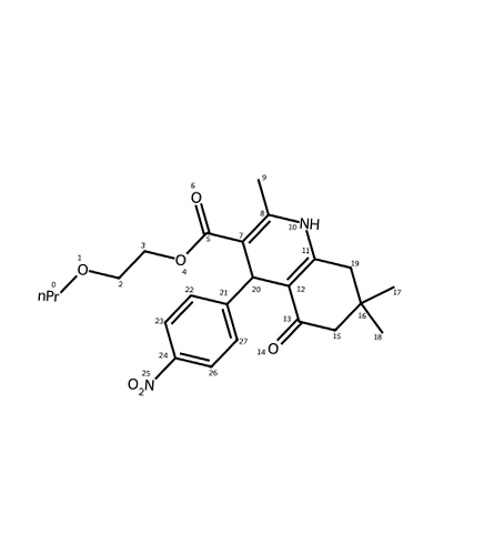 CCCOCCOC(=O)C1=C(C)NC2=C(C(=O)CC(C)(C)C2)C1c1ccc([N+](=O)[O-])cc1